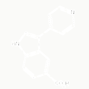 O=C(O)c1ccc2[nH]cc(-c3ccncc3)c2c1